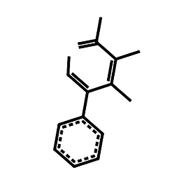 C=C(C)/C(C)=C(C)\C(=C/C)c1ccccc1